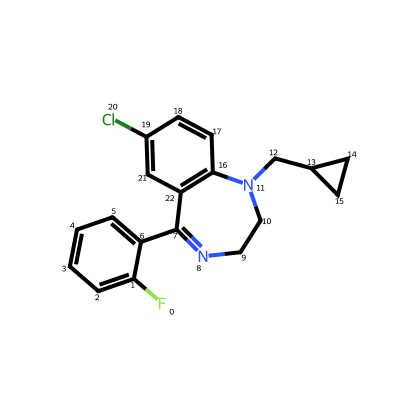 Fc1ccccc1C1=NCCN(CC2CC2)c2ccc(Cl)cc21